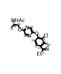 CCc1nsc2c(Cl)c(Oc3cnc(OC[C@H](C)NC(C)=O)cn3)ccc12